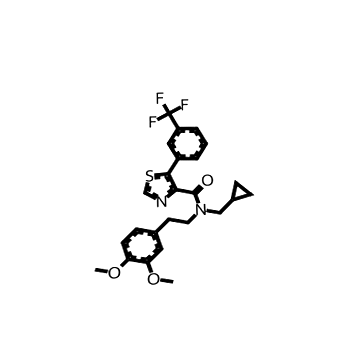 COc1ccc(CCN(CC2CC2)C(=O)c2ncsc2-c2cccc(C(F)(F)F)c2)cc1OC